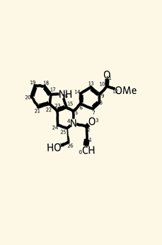 C#CC(=O)N1C(c2ccc(C(=O)OC)cc2)c2[nH]c3ccccc3c2C[C@@H]1CO